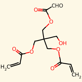 C=CC(=O)OCC(CO)(COC(=O)C=C)COC(=O)C=O